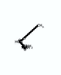 CCCCCCCCCCCCCCCCCCOCCCOP(=O)(O)COCCn1cnc2c(=O)[nH]c(N)nc21